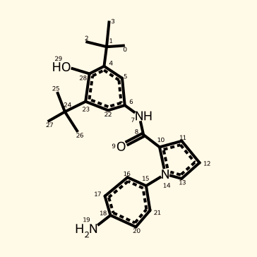 CC(C)(C)c1cc(NC(=O)c2cccn2-c2ccc(N)cc2)cc(C(C)(C)C)c1O